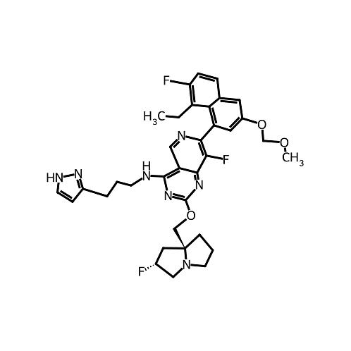 CCc1c(F)ccc2cc(OCOC)cc(-c3ncc4c(NCCCc5cc[nH]n5)nc(OC[C@@]56CCCN5C[C@H](F)C6)nc4c3F)c12